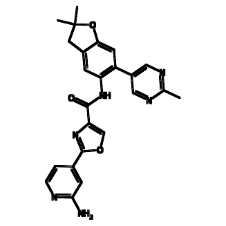 Cc1ncc(-c2cc3c(cc2NC(=O)c2coc(-c4ccnc(N)c4)n2)CC(C)(C)O3)cn1